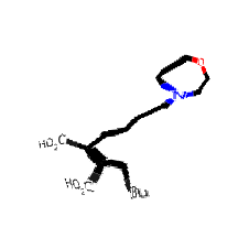 CCC(C)CC(C(=O)O)=C(CCCCN1CCOCC1)C(=O)O